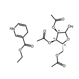 CC(=O)OC[C@H]1OC(O)[C@H](OC(C)=O)[C@@H]1OC(C)=O.CCOC(=O)C1=CNC=CC1